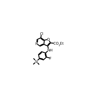 CCOC(=O)c1oc2c(Cl)cncc2c1Nc1ccc([Si](C)(C)C)cc1F